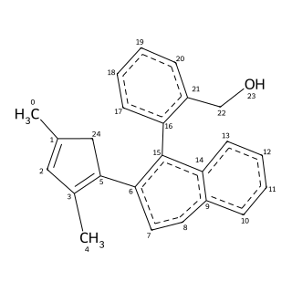 CC1=CC(C)=C(c2ccc3ccccc3c2-c2ccccc2CO)C1